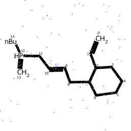 C=CC1CCCCC1C/C=C/C[PH](=C)CCCC